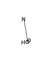 CN(C)CCCCCCCCCCCCCCCCCC=CCCCCCCCC(=O)O